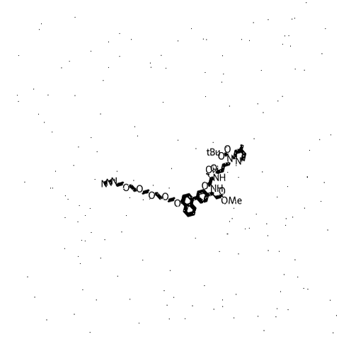 COC(=O)C[C@H](NC(=O)[C@H](CO)NC(=O)CCCN(C(=O)OC(C)(C)C)c1cc(C)ccn1)c1ccc(-c2ccc(OCCOCCOCCOCCOCCN=[N+]=[N-])c3ccccc23)cc1